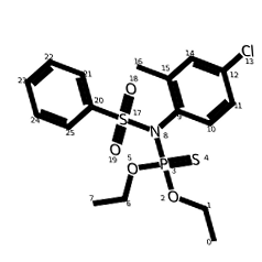 CCOP(=S)(OCC)N(c1ccc(Cl)cc1C)S(=O)(=O)c1ccccc1